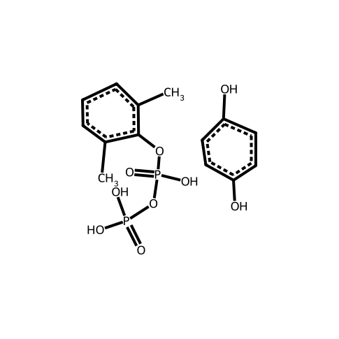 Cc1cccc(C)c1OP(=O)(O)OP(=O)(O)O.Oc1ccc(O)cc1